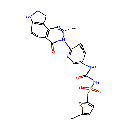 Cc1ccc(S(=O)(=O)NC(=O)Nc2ccc(-n3c(C)nc4c5c(ccc4c3=O)NCC5)nc2)s1